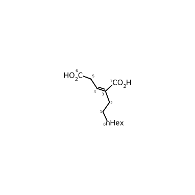 CCCCCCCC/C(=C/CC(=O)O)C(=O)O